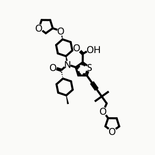 CC(C)(C#Cc1cc(N(C(=O)[C@H]2CC[C@H](C)CC2)[C@H]2CC[C@H](OC3CCOC3)CC2)c(C(=O)O)s1)COC1CCOC1